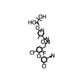 Cc1cc(OC[C@H](O)C(C)(C)O)ncc1-c1nnc(Cc2ccc(Cl)c(Oc3cc(Cl)cc(C#N)c3)c2F)o1